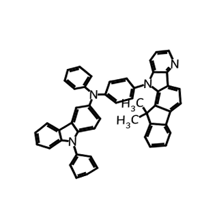 CC1(C)c2ccccc2-c2ccc3c4ncccc4n(-c4ccc(N(c5ccccc5)c5ccc6c(c5)c5ccccc5n6-c5ccccc5)cc4)c3c21